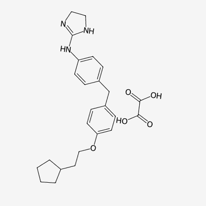 O=C(O)C(=O)O.c1cc(NC2=NCCN2)ccc1Cc1ccc(OCCC2CCCC2)cc1